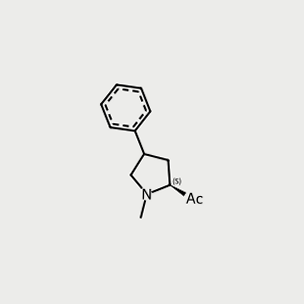 CC(=O)[C@@H]1CC(c2ccccc2)CN1C